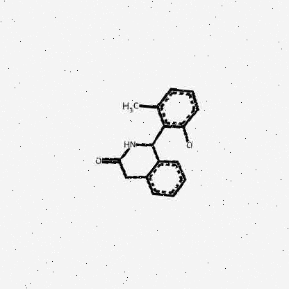 Cc1cccc(Cl)c1C1NC(=O)Cc2ccccc21